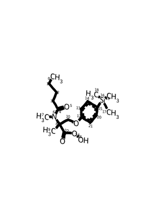 CCCCC(=O)N(C)C(C)(COc1ccc([Si](C)(C)C)cc1)C(=O)OO